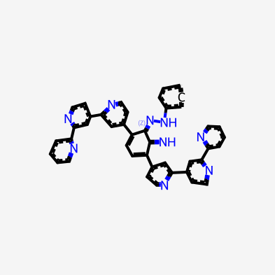 N=C1C(c2ccnc(-c3ccnc(-c4ccccn4)c3)c2)=CC=C(c2ccnc(-c3ccnc(-c4ccccn4)c3)c2)/C1=N/Nc1ccccc1